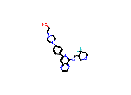 OCCN1CCN(c2ccc(-c3cc4nccnc4c(NCC4CNCCC4(F)F)n3)cc2)CC1